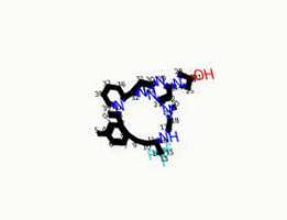 C=C1c2cc(C)ccc2CCC(C(F)(F)F)NCCN(C)c2cc(N3CC(O)C3)nc3cc(nn23)C2CCCCN12